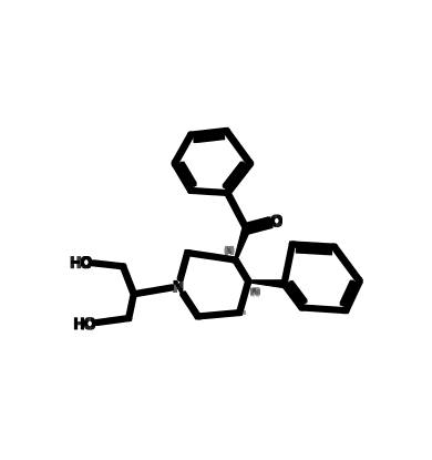 O=C(c1ccccc1)[C@@H]1CN(C(CO)CO)C[CH][C@@H]1c1ccccc1